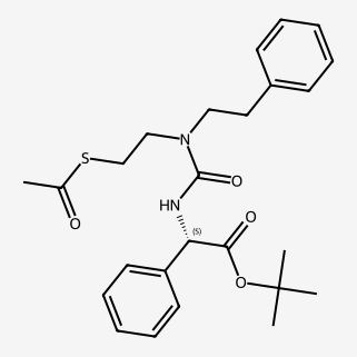 CC(=O)SCCN(CCc1ccccc1)C(=O)N[C@H](C(=O)OC(C)(C)C)c1ccccc1